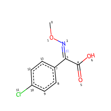 CO/N=C(/C(=O)O)c1ccc(Cl)cc1